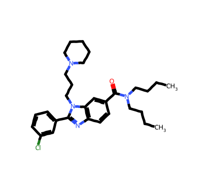 CCCCN(CCCC)C(=O)c1ccc2nc(-c3cccc(Cl)c3)n(CCCN3CCCCC3)c2c1